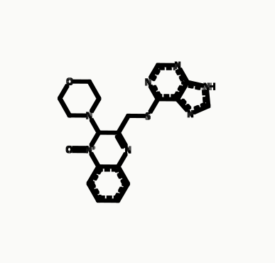 O=[N+]1c2ccccc2N=C(CSc2ncnc3[nH]cnc23)C1N1CCOCC1